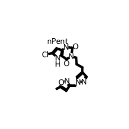 CCCCCn1c(=O)n(CCCc2cnn(Cc3cc(C)on3)c2)c(=O)c2[nH]c(Cl)cc21